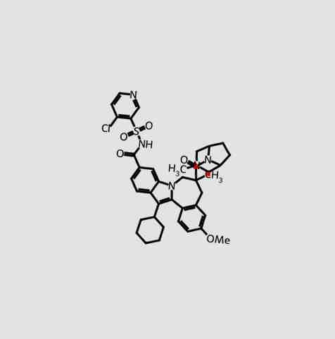 COc1ccc2c(c1)CC(C)(C(=O)N1C3CCC1CN(C)C3)Cn1c-2c(C2CCCCC2)c2ccc(C(=O)NS(=O)(=O)c3cnccc3Cl)cc21